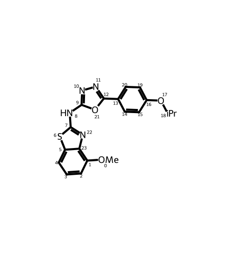 COc1cccc2sc(Nc3nnc(-c4ccc(OC(C)C)cc4)o3)nc12